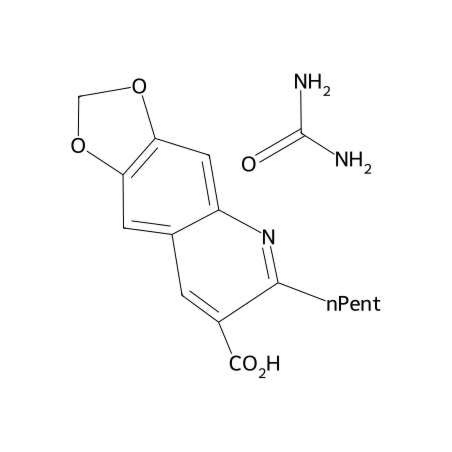 CCCCCc1nc2cc3c(cc2cc1C(=O)O)OCO3.NC(N)=O